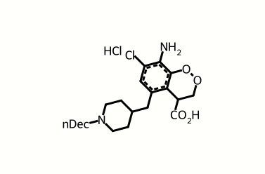 CCCCCCCCCCN1CCC(Cc2cc(Cl)c(N)c3c2C(C(=O)O)COO3)CC1.Cl